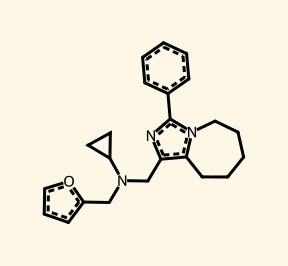 c1ccc(-c2nc(CN(Cc3ccco3)C3CC3)c3n2CCCCC3)cc1